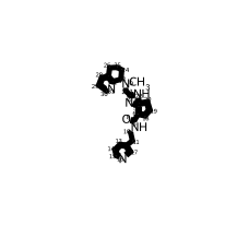 CN(Cc1nc2c(C(=O)NCCc3cccnc3)cccc2[nH]1)C1CCCc2cccnc21